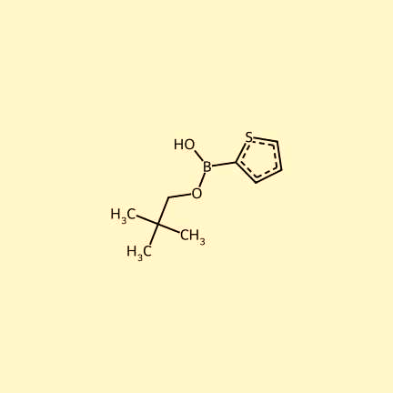 CC(C)(C)COB(O)c1cccs1